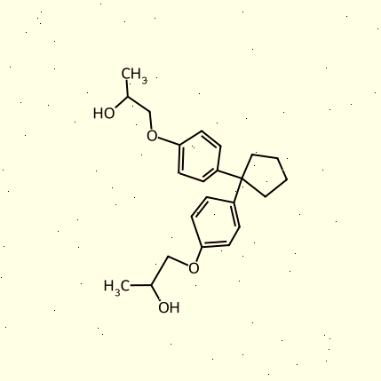 CC(O)COc1ccc(C2(c3ccc(OCC(C)O)cc3)CCCC2)cc1